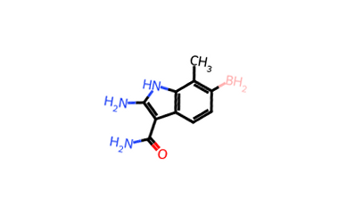 Bc1ccc2c(C(N)=O)c(N)[nH]c2c1C